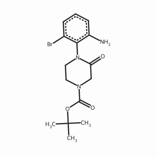 CC(C)(C)OC(=O)N1CCN(c2c(N)cccc2Br)C(=O)C1